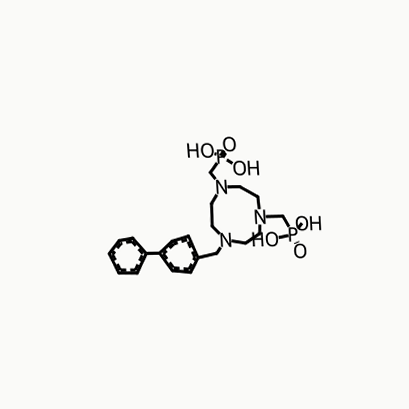 O=P(O)(O)CN1CCN(Cc2ccc(-c3ccccc3)cc2)CCN(CP(=O)(O)O)CC1